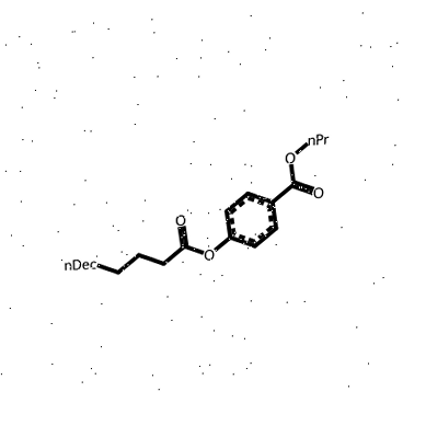 CCCCCCCCCCCCCC(=O)Oc1ccc(C(=O)OCCC)cc1